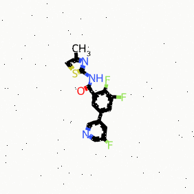 Cc1csc(NC(=O)c2cc(-c3cncc(F)c3)cc(F)c2F)n1